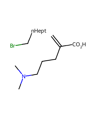 C=C(CCCN(C)C)C(=O)O.CCCCCCCCBr